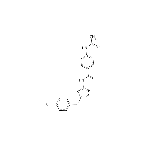 CC(=O)Nc1ccc(C(=O)Nc2ncc(Cc3ccc(Cl)cc3)s2)cc1